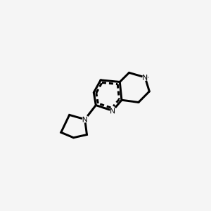 c1cc2c(nc1N1CCCC1)CC[N]C2